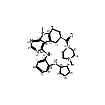 CN1CCN(C(=O)[C@@H]2CCc3[nH]c4ncnc(Nc5ccccc5OC5CCCC5)c4c3C2)CC1